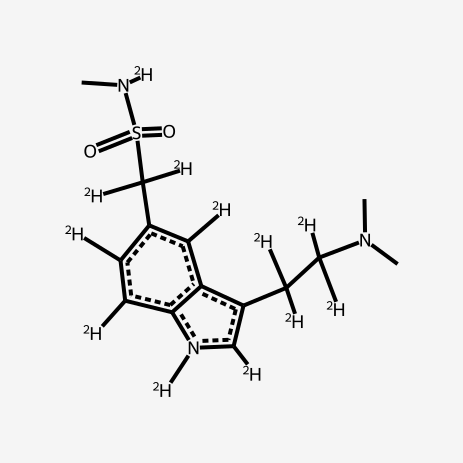 [2H]c1c(C([2H])([2H])S(=O)(=O)N([2H])C)c([2H])c2c(C([2H])([2H])C([2H])([2H])N(C)C)c([2H])n([2H])c2c1[2H]